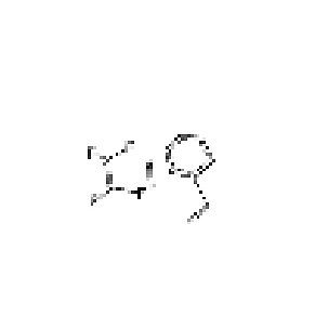 C=C.C=Cc1ccccc1.FC(F)=C(F)F